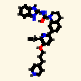 O=C(O)c1nc(-c2ccc3c(c2)N(C(=O)Nc2nc4ccccc4[nH]2)CCC3)ccc1OCCCc1ccncc1